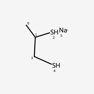 CC(S)CS.[Na]